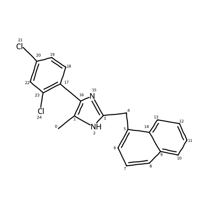 Cc1[nH]c(Cc2cccc3ccccc23)nc1-c1ccc(Cl)cc1Cl